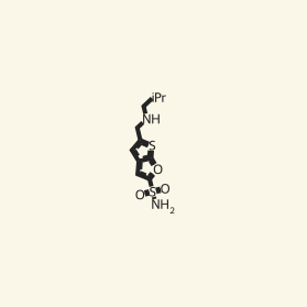 CC(C)CNCc1cc2cc(S(N)(=O)=O)oc2s1